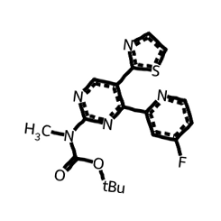 CN(C(=O)OC(C)(C)C)c1ncc(-c2nccs2)c(-c2cc(F)ccn2)n1